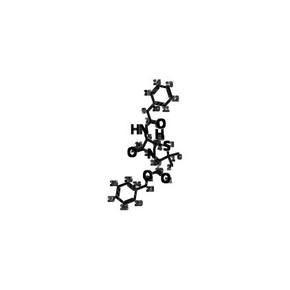 CC1(C)S[C@@H]2C(NC(=O)Cc3ccccc3)C(=O)N2[C@H]1C(=O)OCc1ccccc1